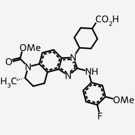 COC(=O)N1c2ccc3c(nc(Nc4ccc(F)c(OC)c4)n3C3CCC(C(=O)O)CC3)c2CC[C@@H]1C